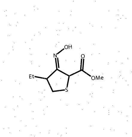 CCC1CSC(C(=O)OC)C1=NO